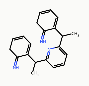 CC(C1=CC=CCC1=N)c1cccc(C(C)C2=CC=CCC2=N)n1